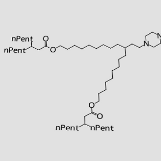 CCCCCC(CCCCC)CC(=O)OCCCCCCCCCC(CCCCCCCCCOC(=O)CC(CCCCC)CCCCC)CCN1CCN(C)CC1